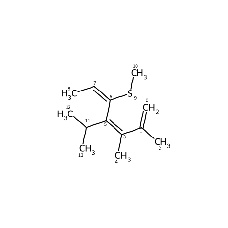 C=C(C)/C(C)=C(\C(=C/C)SC)C(C)C